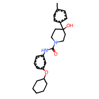 Cc1ccc(C2(O)CCN(C(=O)Nc3cccc(OC4CCCCC4)c3)CC2)cc1